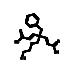 O=C(O)C=CC(C=CC(=O)O)(COCCO)Oc1ccccc1